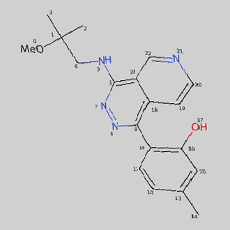 COC(C)(C)CNc1nnc(-c2ccc(C)cc2O)c2ccncc12